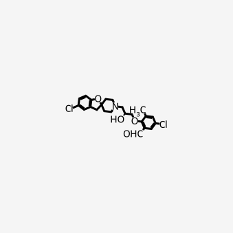 Cc1cc(Cl)cc(C=O)c1OC[C@@H](O)CN1CCC2(CC1)Cc1cc(Cl)ccc1O2